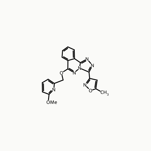 COc1cccc(COc2nn3c(-c4cc(C)on4)nnc3c3ccccc23)n1